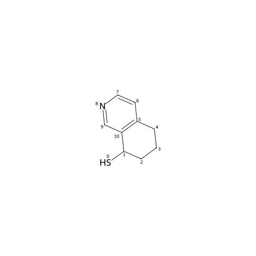 SC1CCCc2ccncc21